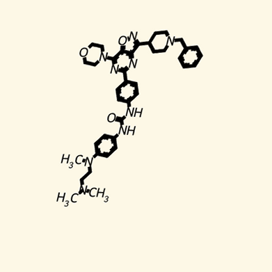 CN(C)CCN(C)c1ccc(NC(=O)Nc2ccc(-c3nc(N4CCOCC4)c4onc(C5CCN(Cc6ccccc6)CC5)c4n3)cc2)cc1